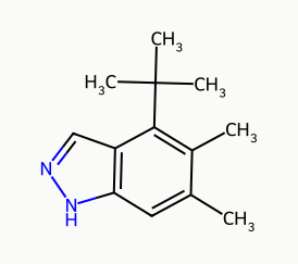 Cc1cc2[nH]ncc2c(C(C)(C)C)c1C